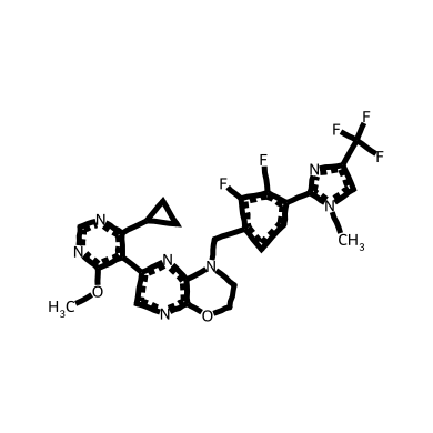 COc1ncnc(C2CC2)c1-c1cnc2c(n1)N(Cc1ccc(-c3nc(C(F)(F)F)cn3C)c(F)c1F)CCO2